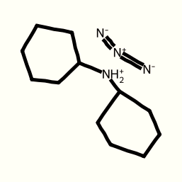 C1CCC([NH2+]C2CCCCC2)CC1.[N-]=[N+]=[N-]